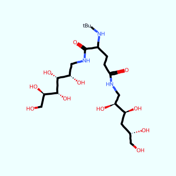 CC(C)(C)NC(CCC(=O)NC[C@H](O)[C@@H](O)C[C@H](O)CO)C(=O)NC[C@H](O)[C@@H](O)[C@H](O)[C@H](O)CO